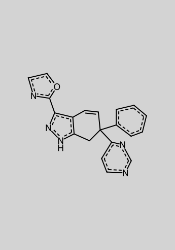 C1=CC(c2ccccc2)(c2ccncn2)Cc2[nH]nc(-c3ncco3)c21